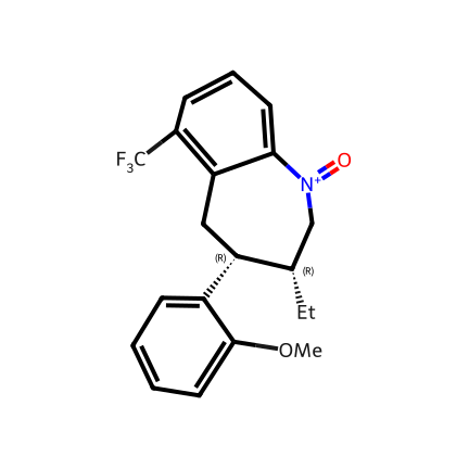 CC[C@H]1C[N+](=O)c2cccc(C(F)(F)F)c2C[C@H]1c1ccccc1OC